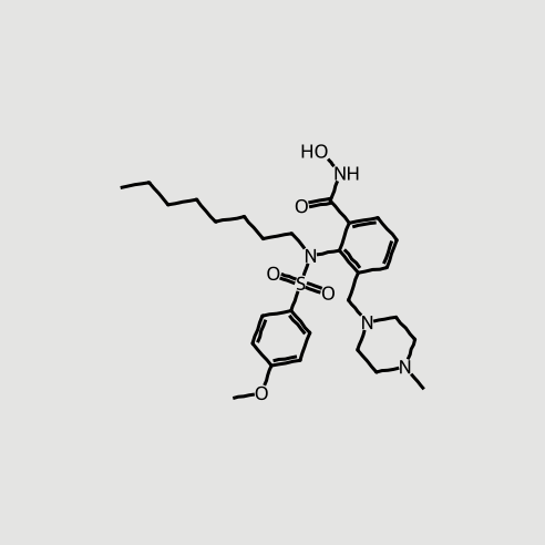 CCCCCCCCN(c1c(CN2CCN(C)CC2)cccc1C(=O)NO)S(=O)(=O)c1ccc(OC)cc1